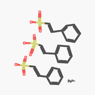 O=S(=O)([O-])C=Cc1ccccc1.O=S(=O)([O-])C=Cc1ccccc1.O=S(=O)([O-])C=Cc1ccccc1.[Fe+3]